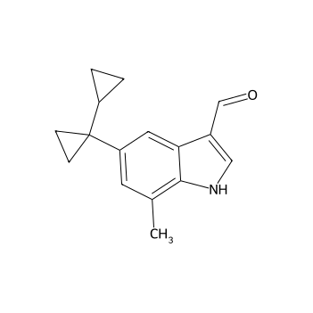 Cc1cc(C2(C3CC3)CC2)cc2c(C=O)c[nH]c12